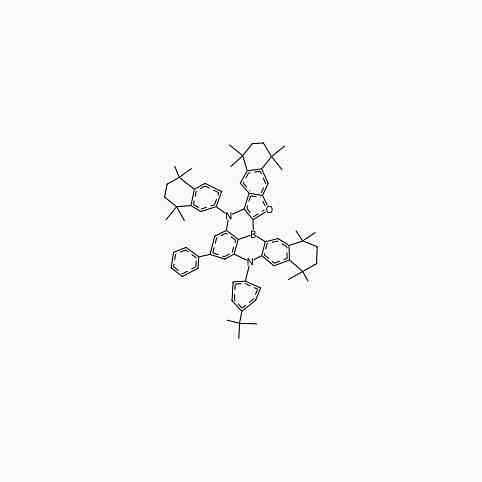 CC(C)(C)c1ccc(N2c3cc4c(cc3B3c5oc6cc7c(cc6c5N(c5ccc6c(c5)C(C)(C)CCC6(C)C)c5cc(-c6ccccc6)cc2c53)C(C)(C)CCC7(C)C)C(C)(C)CCC4(C)C)cc1